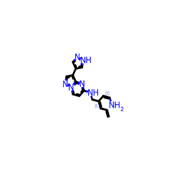 C=C/C=C(\C=C/N)CNc1ccn2ncc(-c3cn[nH]c3)c2n1